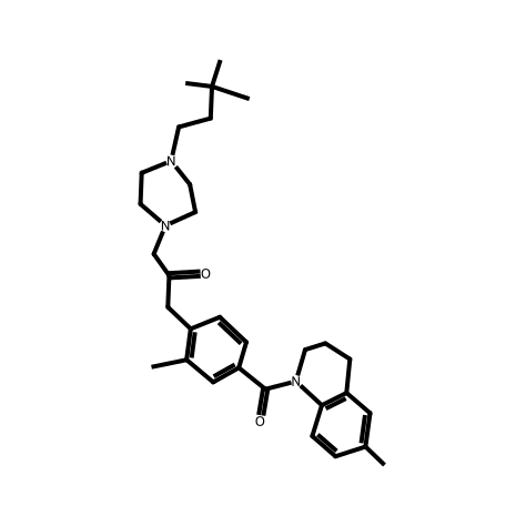 Cc1ccc2c(c1)CCCN2C(=O)c1ccc(CC(=O)CN2CCN(CCC(C)(C)C)CC2)c(C)c1